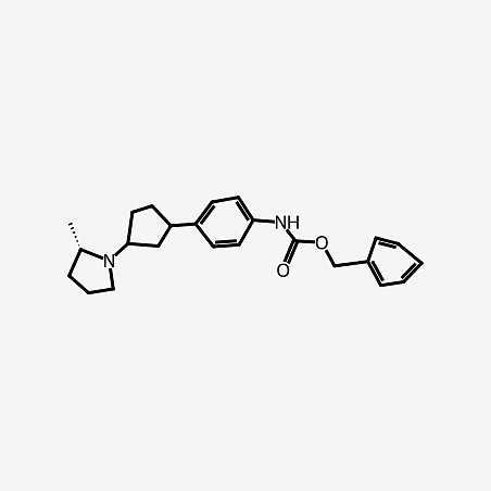 C[C@H]1CCCN1C1CCC(c2ccc(NC(=O)OCc3ccccc3)cc2)C1